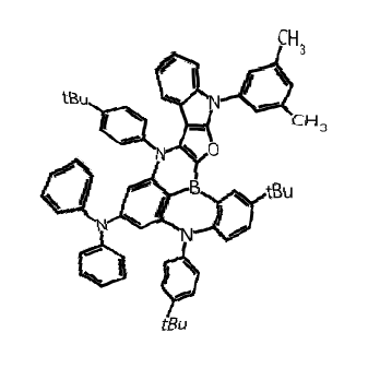 Cc1cc(C)cc(-n2c3ccccc3c3c4c(oc32)B2c3cc(C(C)(C)C)ccc3N(c3ccc(C(C)(C)C)cc3)c3cc(N(c5ccccc5)c5ccccc5)cc(c32)N4c2ccc(C(C)(C)C)cc2)c1